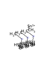 CCCCCCCC/C=C\CCCCCCC(C(=O)[O-])C(S)(S)CS.CCCCCCCC/C=C\CCCCCCC(C(=O)[O-])C(S)(S)CS.CCCCCCCC/C=C\CCCCCCC(C(=O)[O-])C(S)(S)CS.CCC[CH2][Sn+3]